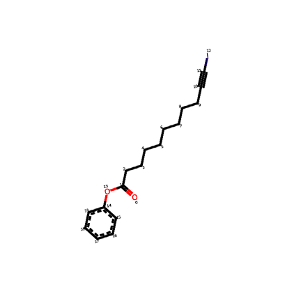 O=C(CCCCCCCCC#CI)Oc1ccccc1